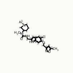 CC(=O)N1CCCC(N(C)C(=O)NCc2cc3cc(Cl)c(OCc4cc(C)on4)cc3[nH]2)C1